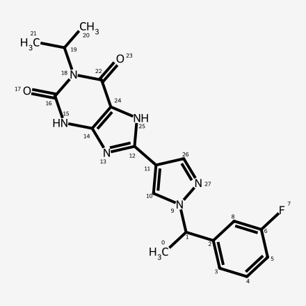 CC(c1cccc(F)c1)n1cc(-c2nc3[nH]c(=O)n(C(C)C)c(=O)c3[nH]2)cn1